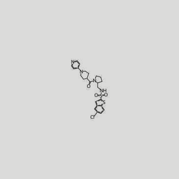 O=C(C1CCN(c2ccncc2)CC1)N1CCCC1CNS(=O)(=O)c1cc2cc(Cl)ccc2s1